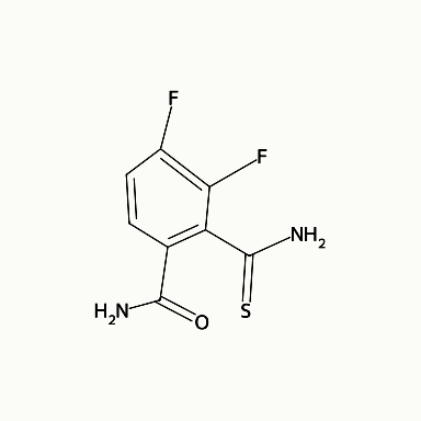 NC(=O)c1ccc(F)c(F)c1C(N)=S